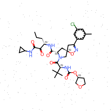 CCC[C@H](NC(=O)[C@@H]1C[C@]2(CC(c3cc(C)cc(Cl)c3)=NO2)CN1C(=O)[C@@H](NC(=O)O[C@H]1CCOC1)C(C)(C)C)C(=O)C(=O)NC1CC1